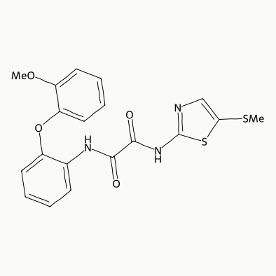 COc1ccccc1Oc1ccccc1NC(=O)C(=O)Nc1ncc(SC)s1